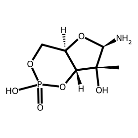 C[C@]1(O)[C@H](N)O[C@@H]2COP(=O)(O)O[C@H]21